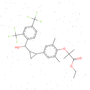 CCOC(=O)C(C)(C)Oc1c(C)cc(C2CC2C(O)c2ccc(C(F)(F)F)cc2C(F)(F)F)cc1C